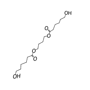 O=C(CCCCCO)OCCCCOC(=O)CCCCCO